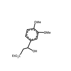 CCOC(=O)CC(O)c1ccc(OC)c(OC)c1